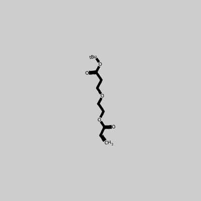 C=CC(=O)OCCOCCC(=O)OC(C)(C)C